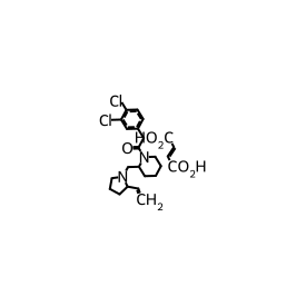 C=CC1CCCN1CC1CCCCN1C(=O)Cc1ccc(Cl)c(Cl)c1.O=C(O)C=CC(=O)O